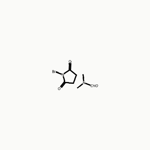 CN(C)C=O.O=C1CCC(=O)N1Br